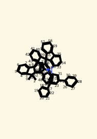 CC1(C)c2ccccc2-c2ccc(N(c3cc(-c4ccccc4)cc(-c4ccccc4)c3)c3cccc4c3C3(c5ccccc5-c5cc6ccccc6cc53)c3ccccc3-4)cc21